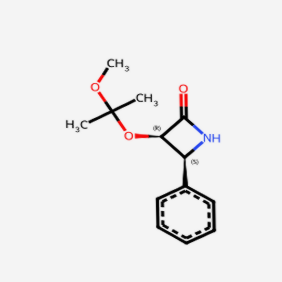 COC(C)(C)O[C@H]1C(=O)N[C@H]1c1ccccc1